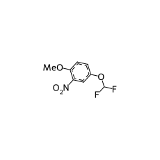 COc1ccc(OC(F)F)cc1[N+](=O)[O-]